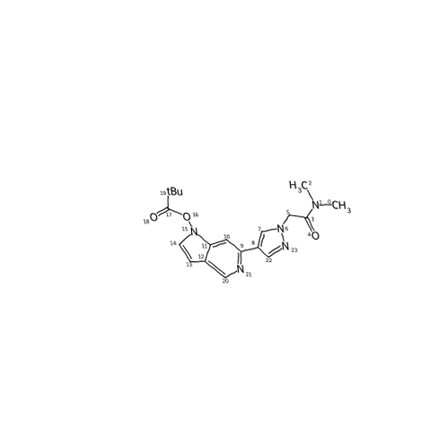 CN(C)C(=O)Cn1cc(-c2cc3c(ccn3OC(=O)C(C)(C)C)cn2)cn1